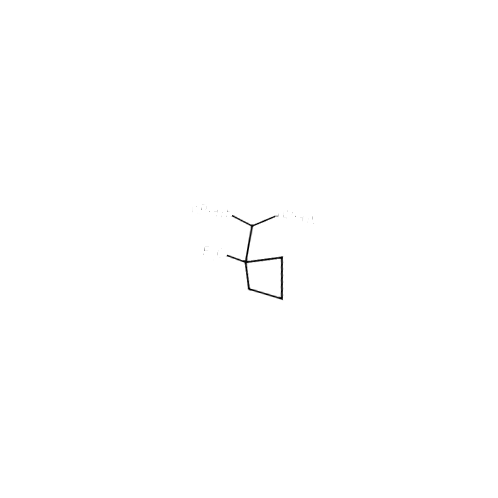 CCCCCC(CCCCC)C1(C(F)(F)F)CCC1